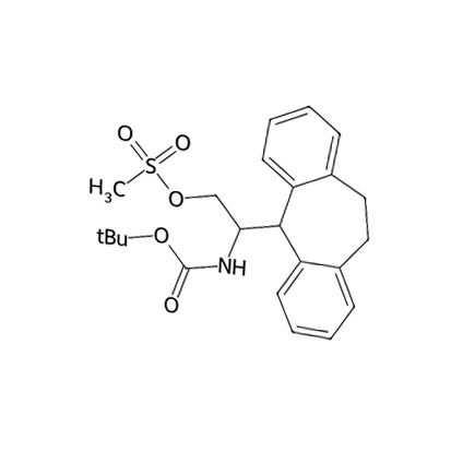 CC(C)(C)OC(=O)NC(COS(C)(=O)=O)C1c2ccccc2CCc2ccccc21